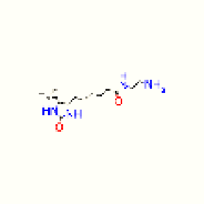 C[C@@H]1NC(=O)N[C@@H]1CCCCCC(=O)NCCN